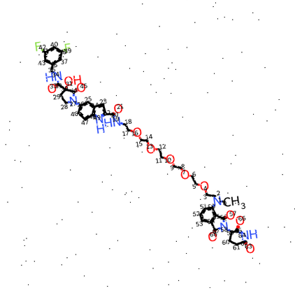 CN(CCOCCOCCOCCOCCOCCNC(=O)c1cc2cc(N3CCC(O)(C(=O)NCc4cc(F)cc(F)c4)C3=O)ccc2[nH]1)c1cccc2c1C(=O)N(C1CCC(=O)NC1=O)C2=O